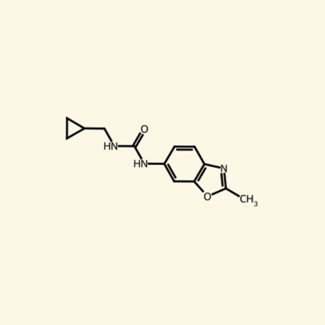 Cc1nc2ccc(NC(=O)NCC3CC3)cc2o1